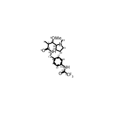 COC(C(C)C(=O)NSc1ccc(NC(=O)C(F)(F)F)cc1)C1CCCN1C